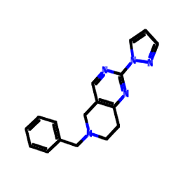 c1ccc(CN2CCc3nc(-n4cccn4)ncc3C2)cc1